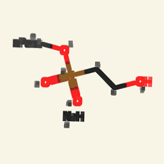 CCCCCOS(=O)(=O)CCO.[NaH]